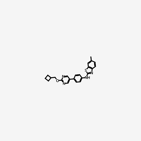 Cc1ccc2nc(Nc3ccc(-c4cnc(OCC5CCC5)nc4)cc3)sc2c1